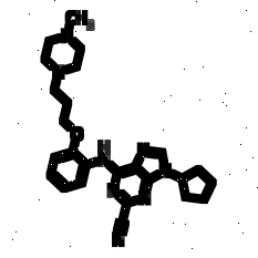 CN1CCN(CCCOc2ccccc2Nc2nc(C#N)nc3c2ncn3C2CCCC2)CC1